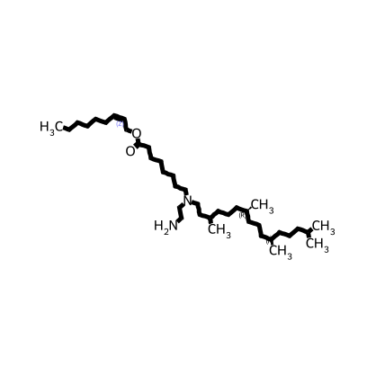 CCCCCC/C=C\COC(=O)CCCCCCCN(CCN)CCC(C)CCC[C@H](C)CCC[C@H](C)CCCC(C)C